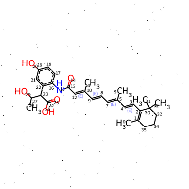 CC1=C(/C=C/C(C)=C/C=C/C(C)=C/C(=O)Nc2ccc(O)cc2C(C(=O)O)C(C)O)C(C)(C)CCC1